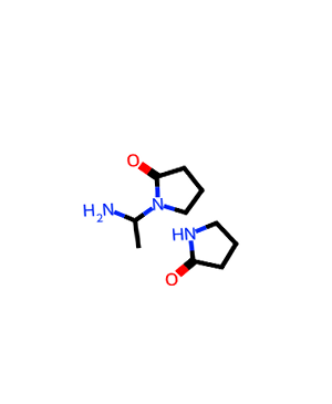 CC(N)N1CCCC1=O.O=C1CCCN1